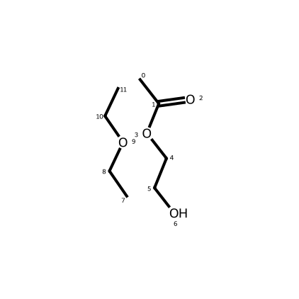 CC(=O)OCCO.CCOCC